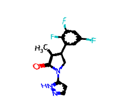 CC1C(=O)N(c2ccn[nH]2)CC1c1cc(F)cc(F)c1F